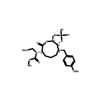 COCN(C(=O)OC(C)(C)C)[C@H]1CCC[C@H](Cc2ccc(OC)cc2)[C@@H](O[Si](C(C)C)(C(C)C)C(C)C)[C@H](C)OC1=O